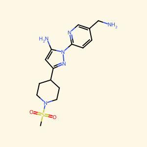 CS(=O)(=O)N1CCC(c2cc(N)n(-c3ccc(CN)cn3)n2)CC1